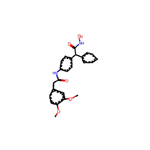 COc1ccc(CC(=O)Nc2ccc(C(C(=O)NO)c3ccccc3)cc2)cc1OC